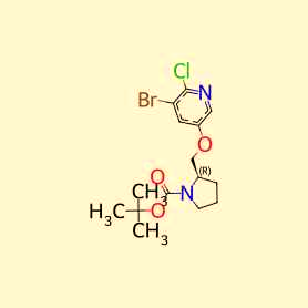 CC(C)(C)OC(=O)N1CCC[C@@H]1COc1cnc(Cl)c(Br)c1